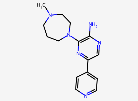 CN1CCCN(c2nc(-c3ccncc3)cnc2N)CC1